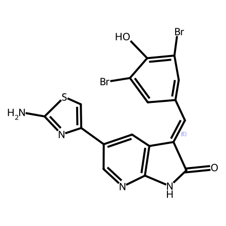 Nc1nc(-c2cnc3c(c2)/C(=C\c2cc(Br)c(O)c(Br)c2)C(=O)N3)cs1